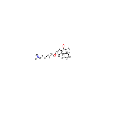 CCC(C(=O)c1ccc(OCCCCCCN(C)C)cc1)c1ccccc1